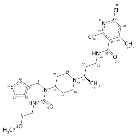 COCCNC(=O)N(Cc1ccsc1)C1CCN([C@H](C)CCNC(=O)c2c(C)cc(Cl)nc2Cl)CC1